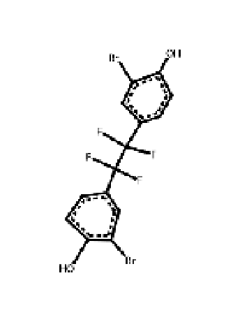 Oc1ccc(C(F)(F)C(F)(F)c2ccc(O)c(Br)c2)cc1Br